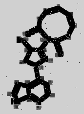 O=C1C/C=C\C=C/CC(=O)N1C1=NN(c2ccnc3[nH]ccc23)CC1Br